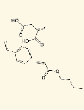 C=C(CC(=O)O)C(=O)O.C=CC(=O)OCCCC.C=Cc1ccccc1